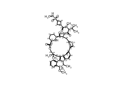 CCn1c(-c2cccnc2[C@H](C)OC)c2c3cc(ccc31)-c1csc(n1)C[C@H](NC(=O)C(C(C)C)N(C)C(=O)N1CC(S(=O)(=O)NC)C1)C(=O)N1CCC[C@H](N1)C(=O)OCC(C)(C)C2